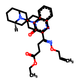 C=CCON=C(CCC(=O)OCC)c1nc2ccccc2n(C2CC3CCC[C@H](C2)N3C2CC3CCCC(C3)C2)c1=O